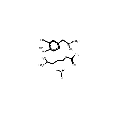 N=C(N)NCCCC(N)C(=O)O.N[C@@H](Cc1ccc(O)c(O)c1)C(=O)O.O=S([O-])O.[Na+]